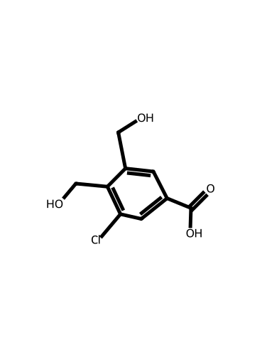 O=C(O)c1cc(Cl)c(CO)c(CO)c1